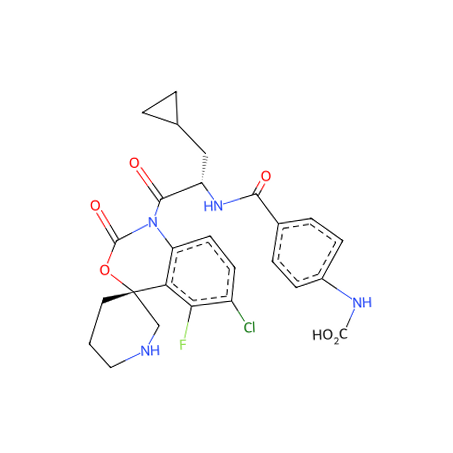 O=C(O)Nc1ccc(C(=O)N[C@@H](CC2CC2)C(=O)N2C(=O)O[C@]3(CCCNC3)c3c2ccc(Cl)c3F)cc1